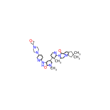 Cc1c(-c2cc(Nc3ccc(N4CCN(C5COC5)CC4)cn3)c(=O)n(C)c2)ccnc1-n1ccn2c3c(cc2c1=O)CC(C)(C)C3